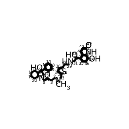 CN(CCc1cnc([C@](O)(c2ccccc2)C2CCCCC2)o1)Cc1ccc(CCNC[C@H](O)c2ccc(O)c3[nH]c(=O)ccc23)s1